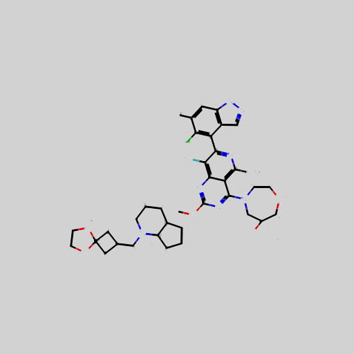 COc1nc(-c2c(Cl)c(C)cc3[nH]ncc23)c(F)c2nc(OC[C@]34CCC[C@H]3N(CC3CC5(C3)OCCO5)CCC4)nc(N3CCOC[C@@](C)(O)C3)c12